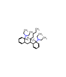 CCCCCC(CC1C=CC=CC1(C)N(CC)CC)C1C=CC=CC1(C)N(CC)CC